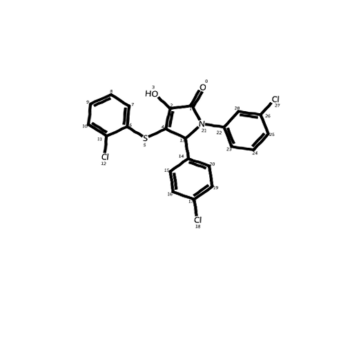 O=C1C(O)=C(Sc2ccccc2Cl)C(c2ccc(Cl)cc2)N1c1cccc(Cl)c1